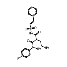 CC(C)CCC(C(=O)NS(=O)(=O)C=Cc1ccccc1)C(=O)N(c1ccc(F)cc1)C(C)C